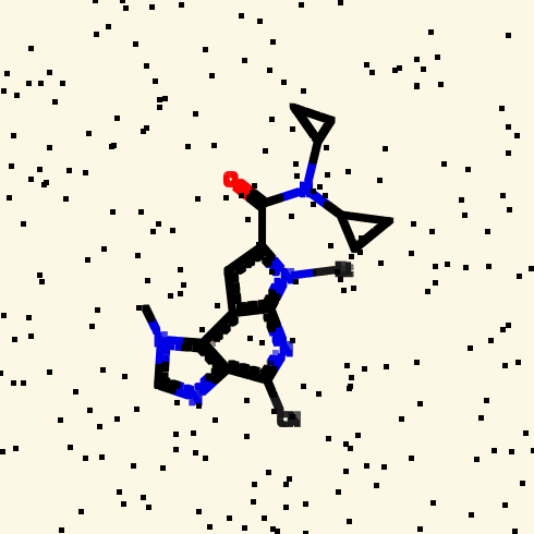 CCn1c(C(=O)N(C2CC2)C2CC2)cc2c3c(ncn3C)c(C#N)nc21